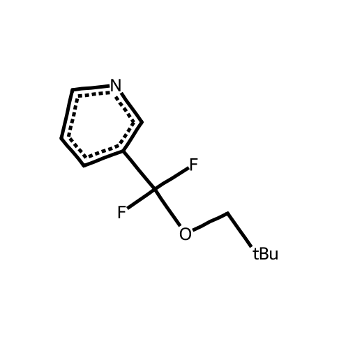 CC(C)(C)COC(F)(F)c1cccnc1